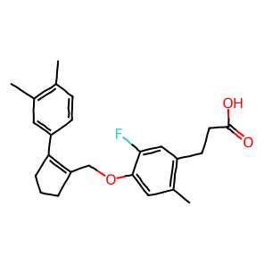 Cc1ccc(C2=C(COc3cc(C)c(CCC(=O)O)cc3F)CCC2)cc1C